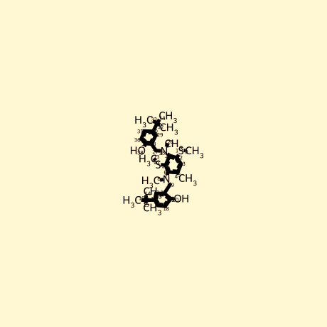 CSc1cc(C)c(N(C)Cc2cc(C(C)(C)C)ccc2O)c(SC)c1N(C)Cc1cc(C(C)(C)C)ccc1O